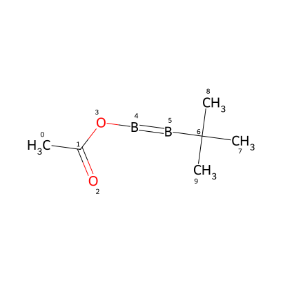 CC(=O)OB=BC(C)(C)C